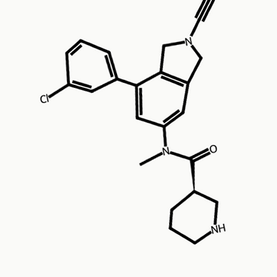 CN(C(=O)[C@@H]1CCCNC1)c1cc2c(c(-c3cccc(Cl)c3)c1)CN(C#N)C2